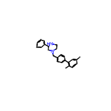 Cc1ccc(C)c(-c2ccc(CN3CCNC(c4ccccc4)C3)cc2)c1